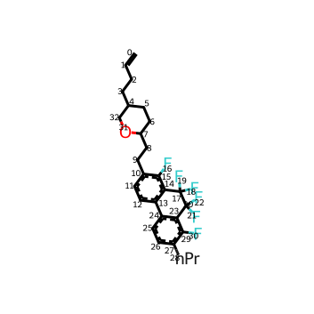 C=CCCC1CCC(CCc2ccc3c(c2F)C(F)(F)C(F)(F)c2c-3ccc(CCC)c2F)OC1